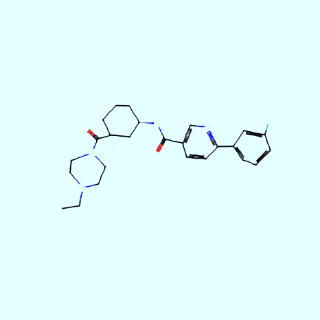 CCN1CCN(C(=O)[C@@]2(C)CCC[C@@H](NC(=O)c3ccc(-c4cccc(F)c4)nc3)C2)CC1